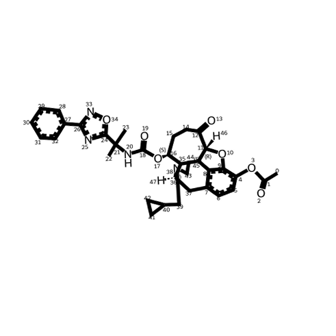 CC(=O)Oc1ccc2c3c1O[C@H]1C(=O)CC[C@H](OC(=O)NC(C)(C)c4nc(-c5ccccc5)no4)C4[C@@H](C2)N(CC2CC2)CC[C@@]341